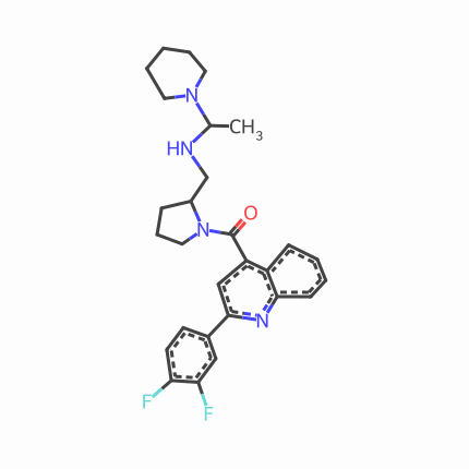 CC(NCC1CCCN1C(=O)c1cc(-c2ccc(F)c(F)c2)nc2ccccc12)N1CCCCC1